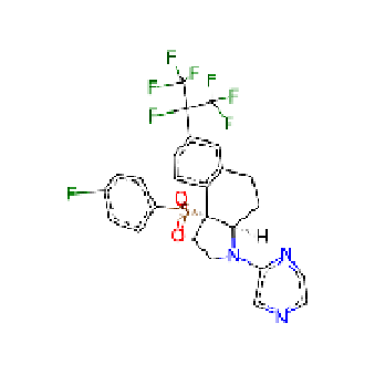 O=S(=O)(c1ccc(F)cc1)[C@@]12CCN(c3cnccn3)[C@@H]1CCc1cc(C(F)(C(F)(F)F)C(F)(F)F)ccc12